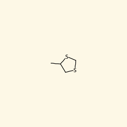 CC1CSCS1